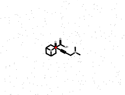 CCCC(=O)N1CC2CC(C1)N2C(=O)C#CCN(C)C